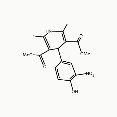 COC(=O)C1=C(C)NC(C)=C(C(=O)OC)C1c1ccc(O)c([N+](=O)[O-])c1